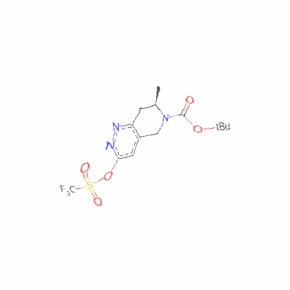 C[C@@H]1Cc2nnc(OS(=O)(=O)C(F)(F)F)cc2CN1C(=O)OC(C)(C)C